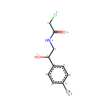 O=C(CCl)NCC(O)c1ccc(C(F)(F)F)cc1